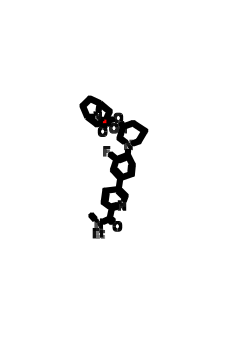 CCN(C)C(=O)c1ccc(-c2ccc(N3CCCC(OC(=O)N4C5CCC4CC(O)C5)C3)c(F)c2)cn1